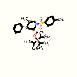 Cc1ccc(S(=O)(=O)N2C[C@H](C)[C@@H](c3ccccc3)C[C@H]2CO[Si](C(C)C)(C(C)C)C(C)C)cc1